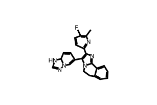 Cc1nc(-c2nc3n(c2C2=CN4N=CNC4C=C2)CCc2ccccc2-3)ccc1F